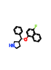 Fc1ccc(O[C@@H](c2ccccc2)C2CCNC2)c2ccccc12